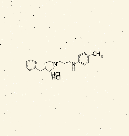 Cc1ccc(NCCCN2CCC(Cc3ccccc3)CC2)cc1.Cl.Cl